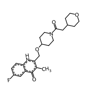 Cc1c(COC2CCN(C(=O)CC3CCOCC3)CC2)[nH]c2ccc(F)cc2c1=O